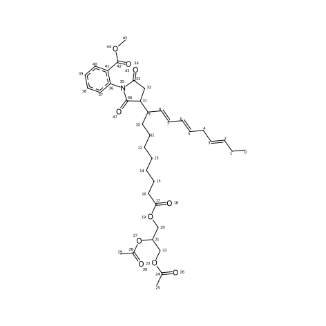 CC/C=C/C/C=C/C=C/C(CCCCCCCC(=O)OCC(COC(C)=O)OC(C)=O)C1CC(=O)N(c2ccccc2C(=O)OC)C1=O